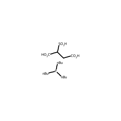 CCCCP(CCCC)CCCC.O=C(O)CC(C(=O)O)S(=O)(=O)O